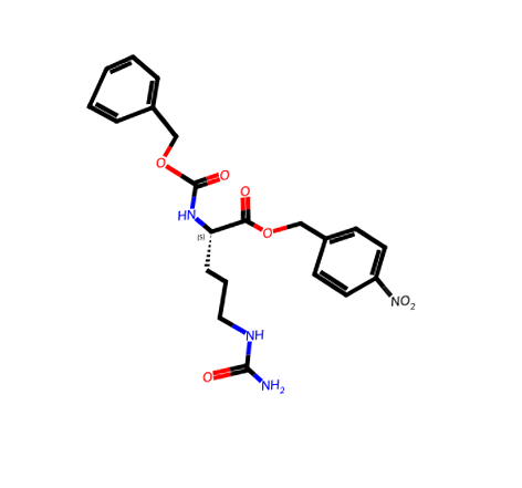 NC(=O)NCCC[C@H](NC(=O)OCc1ccccc1)C(=O)OCc1ccc([N+](=O)[O-])cc1